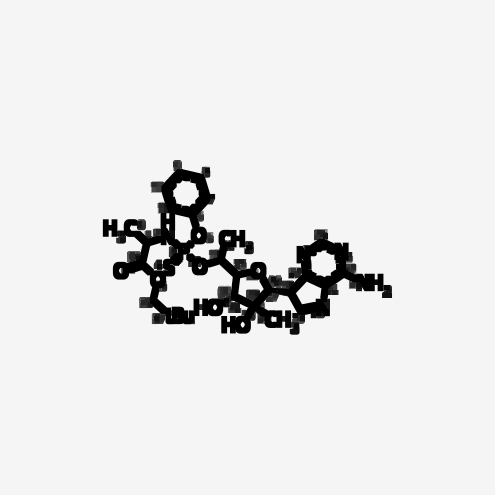 CC(NP(=S)(Oc1ccccc1)OC(C)C1O[C@@H](C2C=Nc3c(N)ncnc32)[C@](C)(O)[C@@H]1O)C(=O)OCC(C)(C)C